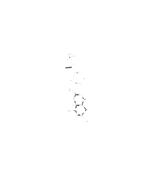 CCc1cc(Br)cc2cnc(N[C@H]3CCCN(C(=O)OC(C)(C)C)C3)nc12